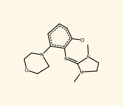 CN1CCN(C)C1=Nc1c(Cl)cccc1N1CCOCC1